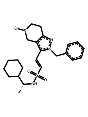 C[C@@H](NS(=O)(=O)/C=C/c1c2c(nn1Cc1ccccc1)CC[S+]([O-])C2)C1CCCCC1